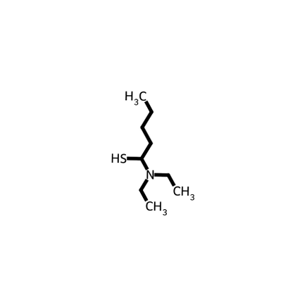 CCCCC(S)N(CC)CC